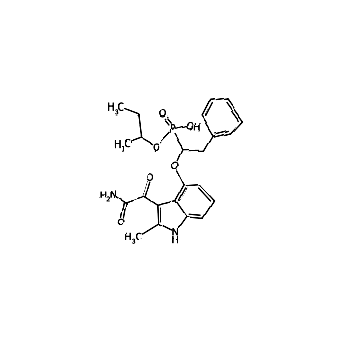 CCC(C)OP(=O)(O)C(Cc1ccccc1)Oc1cccc2[nH]c(C)c(C(=O)C(N)=O)c12